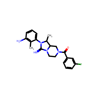 Cc1c(N)cccc1N1C(=N)N2CCN(C(=O)c3cccc(F)c3)CC2C1C